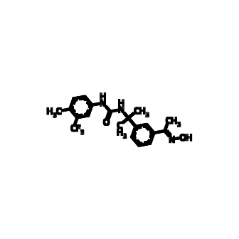 C/C(=N\O)c1cccc(C(C)(C)NC(=O)Nc2ccc(C)c(C(F)(F)F)c2)c1